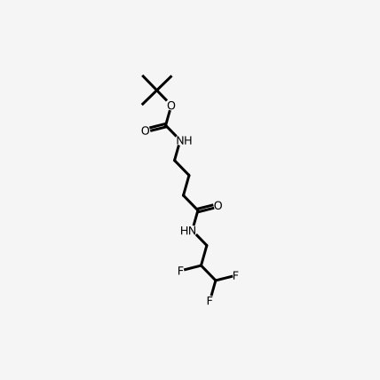 CC(C)(C)OC(=O)NCCCC(=O)NCC(F)C(F)F